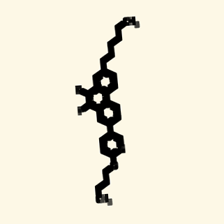 CCCCCCc1ccc2c(c1)c(F)c(F)c1cc(-c3ccc(OCCCC)nc3)ccc12